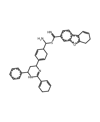 N=C(SC(N)C1C=CC(C2CC(c3ccccc3)NC(C3=CCCC=C3)=N2)=CC1)c1ccc2c3c(oc2c1)CCC=C3